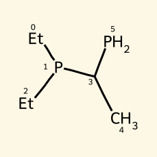 CCP(CC)C(C)P